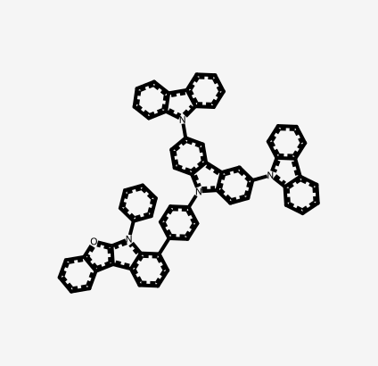 c1ccc(-n2c3oc4ccccc4c3c3cccc(-c4ccc(-n5c6ccc(-n7c8ccccc8c8ccccc87)cc6c6cc(-n7c8ccccc8c8ccccc87)ccc65)cc4)c32)cc1